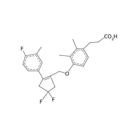 Cc1cc(C2=C(COc3ccc(CCC(=O)O)c(C)c3C)CC(F)(F)C2)ccc1F